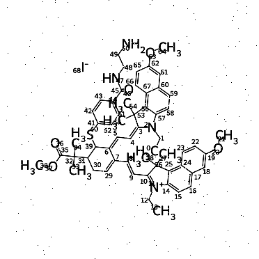 CCN1/C(=C/C=C2\C(/C=C/C3=[N+](CC)c4ccc5cc(OC)ccc5c4C3(C)C)=CCC(C(C)(C)C(=O)OC)C2Sc2ccc(C(=O)NCCN)cc2)C(C)(C)c2c1ccc1cc(OC)ccc21.[I-]